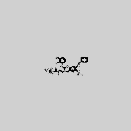 COc1cc(CN(CCNC(=O)OC(C)(C)C)C(=O)Nc2cccc(Cl)c2Cl)ccc1OCc1ccccc1